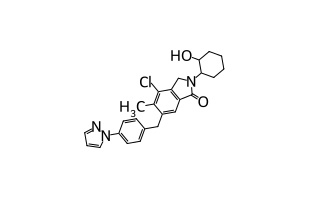 Cc1c(Cc2ccc(-n3cccn3)cc2)cc2c(c1Cl)CN(C1CCCCC1O)C2=O